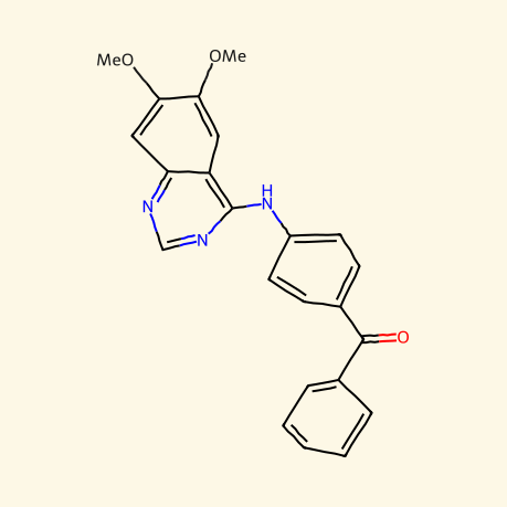 COc1cc2ncnc(Nc3ccc(C(=O)c4ccccc4)cc3)c2cc1OC